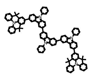 CC1(C)c2ccccc2N2c3ccccc3C(C)(C)c3cc(-c4ccc5c(c4)c4cc(-c6ccc7c(c6)c6cc(-c8ccc9c(c8)c8cc(-c%10cc%11c%12c(c%10)C(C)(C)c%10ccccc%10N%12c%10ccccc%10C%11(C)C)ccc8n9-c8ccccc8)ccc6n7-c6ccccc6)ccc4n5-c4ccccc4)cc1c32